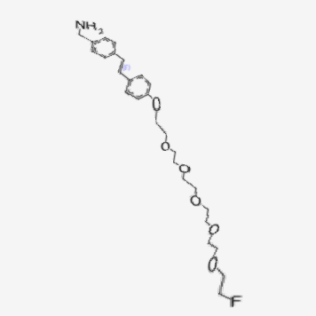 NCc1ccc(/C=C/c2ccc(OCCOCCOCCOCCOCCOCCF)cc2)cc1